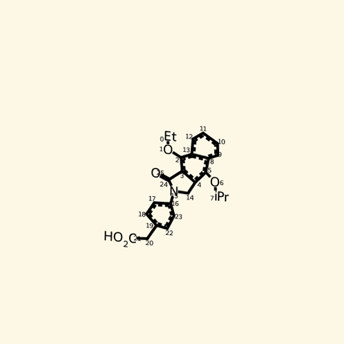 CCOc1c2c(c(OC(C)C)c3ccccc13)CN(c1ccc(CC(=O)O)cc1)C2=O